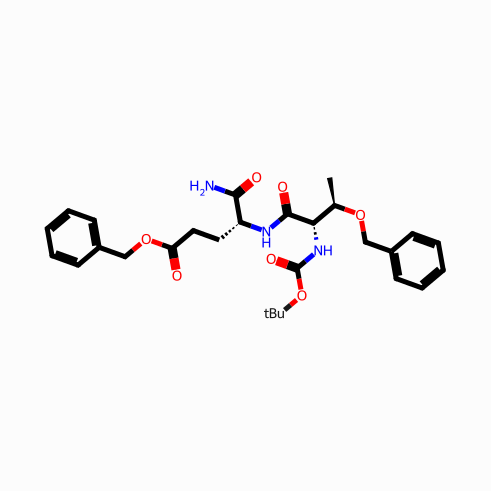 C[C@@H](OCc1ccccc1)[C@H](NC(=O)OC(C)(C)C)C(=O)N[C@H](CCC(=O)OCc1ccccc1)C(N)=O